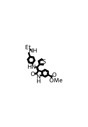 CCNCc1ccc(N/C(=C2\C(=O)Nc3cc(C(=O)OC)ccc32)c2ccsc2)cc1